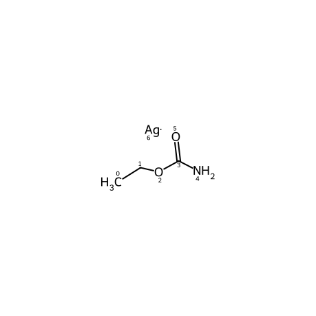 CCOC(N)=O.[Ag]